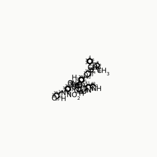 Cc1ccccc1[C@@H]1CC[C@H](C)N1C1CC2(CCN(c3ccc(C(=O)NS(=O)(=O)c4ccc(NCC5CCOCC5)c([N+](=O)[O-])c4)c(N4c5cc6cc[nH]c6nc5O[C@@H]5COC[C@H]54)c3)CC2)C1